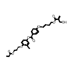 C=CC(=O)OCCCOc1ccc(OC(=O)c2ccc(OCCCCOC(=O)C(=C)CO)cc2)cc1C